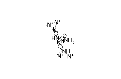 C[N+](C)(C)CCCNC(CC[N+](C)(C)C)c1ccc(N=C2N=C(N)C(=O)C=C2Nc2ccc(N(CCC[N+](C)(C)C)CCC[N+](C)(C)C)cc2)cc1